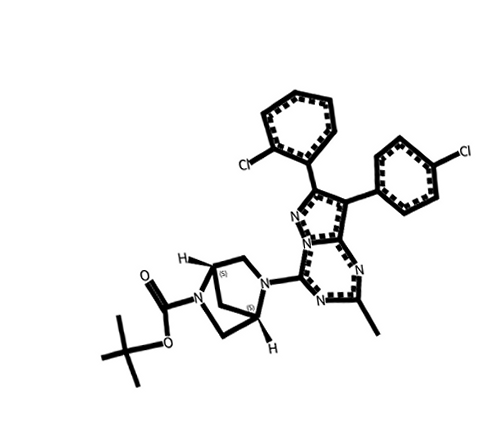 Cc1nc(N2C[C@@H]3C[C@H]2CN3C(=O)OC(C)(C)C)n2nc(-c3ccccc3Cl)c(-c3ccc(Cl)cc3)c2n1